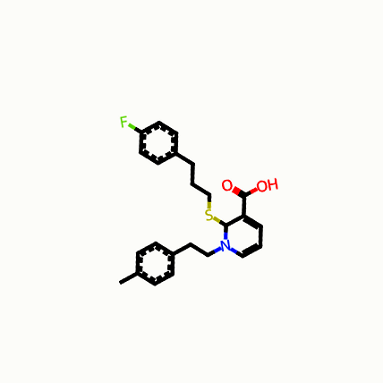 Cc1ccc(CCN2C=CC=C(C(=O)O)C2SCCCc2ccc(F)cc2)cc1